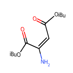 CC(C)COC(=O)/C=C(/N)C(=O)OCC(C)C